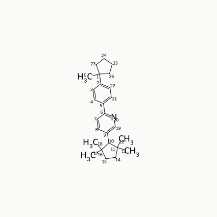 CC1(c2ccc(-c3ccc(C4C(C)(C)CCC4(C)C)cn3)cc2)CCCC1